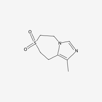 Cc1ncn2c1CCS(=O)(=O)CC2